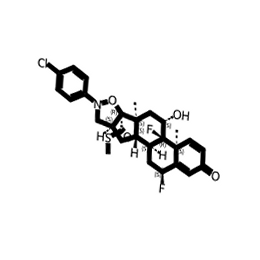 CSC(=O)[C@@]12ON(c3ccc(Cl)cc3)C[C@@H]1C[C@H]1[C@@H]3C[C@H](F)C4=CC(=O)C=C[C@]4(C)[C@@]3(F)[C@@H](O)C[C@@]12C